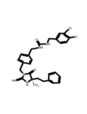 C[C@]1(CCc2ccccc2)NC(=N)N(Cc2ccc(CNC(=O)NCc3ccc(Cl)c(Cl)c3)cc2)C1=O